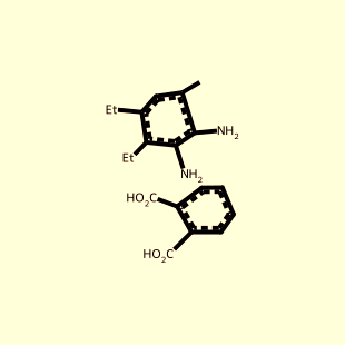 CCc1cc(C)c(N)c(N)c1CC.O=C(O)c1ccccc1C(=O)O